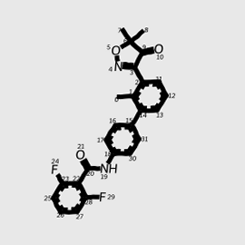 Cc1c(C2=NOC(C)(C)C2=O)cccc1-c1ccc(NC(=O)c2c(F)cccc2F)cc1